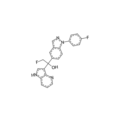 OC(CF)(c1ccc2c(cnn2-c2ccc(F)cc2)c1)c1c[nH]c2cccnc12